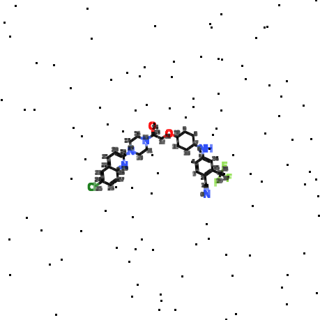 N#Cc1ccc(NC2CCC(OCC(=O)N3CCN(c4ccc5cc(Cl)ccc5n4)CC3)CC2)cc1C(F)(F)F